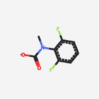 CN(C([O])=O)c1c(F)cccc1F